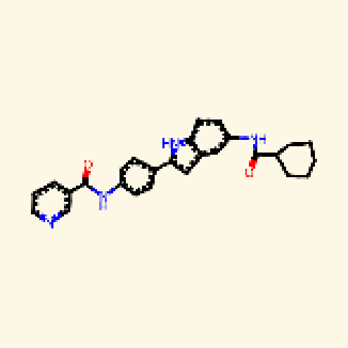 O=C(Nc1ccc(-c2cc3cc(NC(=O)C4CCCCC4)ccc3[nH]2)cc1)c1cccnc1